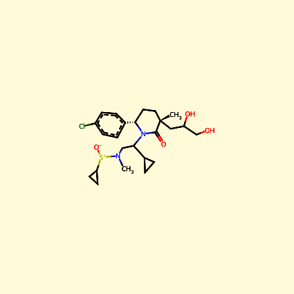 CN(CC(C1CC1)N1C(=O)[C@@](C)(CC(O)CO)CC[C@H]1c1ccc(Cl)cc1)[S+]([O-])C1CC1